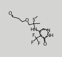 CSC(C)(COCCC=O)Nc1cn[nH]c(=O)c1C(F)(F)F